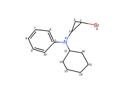 BrC1CC1N(c1ccccc1)C1CCCCC1